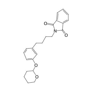 O=C1c2ccccc2C(=O)N1CCCCc1cccc(OC2CCCCO2)c1